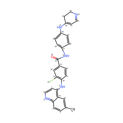 N#Cc1ccc2nccc(Nc3ccc(C(=O)Nc4ccc(NC5=CC=NCC5)cc4)cc3F)c2c1